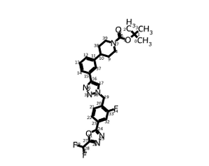 CC(C)(C)OC(=O)N1CCC(c2cccc(-c3cn(Cc4ccc(-c5nnc(C(F)F)o5)cc4F)nn3)c2)CC1